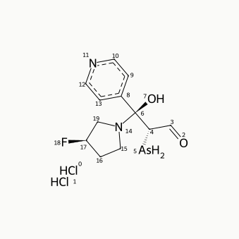 Cl.Cl.O=C[C@H]([AsH2])[C@@](O)(c1ccncc1)N1CC[C@@H](F)C1